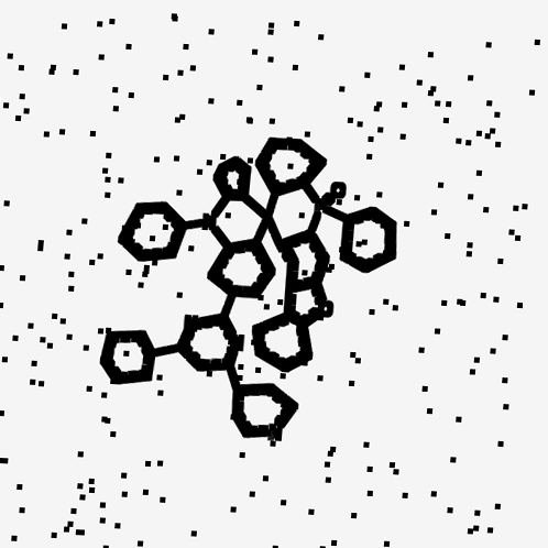 O=P1(c2ccccc2)c2ccccc2C2(c3ccccc3N(c3ccccc3)c3cc(-c4nc(-c5ccccc5)cc(-c5ccncc5)n4)ccc32)c2cc3c(cc21)oc1ccccc13